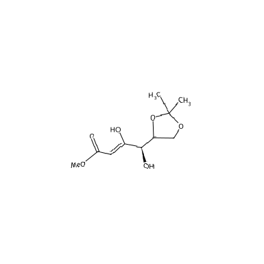 COC(=O)/C=C(\O)[C@H](O)C1COC(C)(C)O1